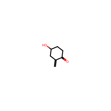 C=C1CC(O)CCC1=O